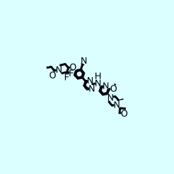 CCC(=O)N1CCC(Oc2ccc(-c3ccnc(Nc4ccc(N5CCN(C6COC6)[C@H](C)C5)c(OC)n4)n3)cc2C#N)C(F)(F)C1